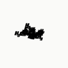 Cc1cc(C)cc(CN2C[C@H]3CN3Cc3c(N(C)Cc4ccccc4)ncnc32)c1